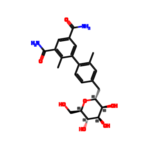 Cc1cc(C[C@H]2O[C@H](CO)[C@@H](O)[C@H](O)[C@@H]2O)ccc1-c1cc(C(N)=O)cc(C(N)=O)c1C